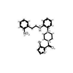 O=C(c1sccc1Br)N1CCN(c2ccccc2NCCc2ccccc2[N+](=O)[O-])CC1